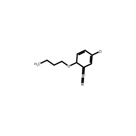 CCCCOC1C=CC(Cl)=CC1=[N+]=[N-]